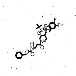 CC(C)(C)[S@+]([O-])N[C@H](Cc1cc(F)c(F)cc1F)C1CCN(C(=O)CCNC(=O)OCc2ccccc2)CC1